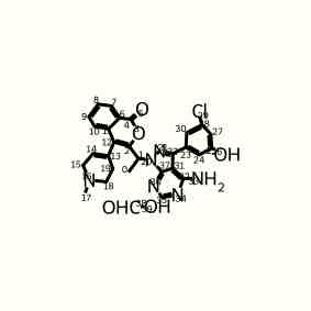 CC(c1oc(=O)c2ccccc2c1C1=CCN(C)CC1)n1nc(-c2cc(O)cc(Cl)c2)c2c(N)ncnc21.O=CO